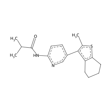 Cc1sc2c(c1-c1ccc(NC(=O)C(C)C)nc1)CCCC2